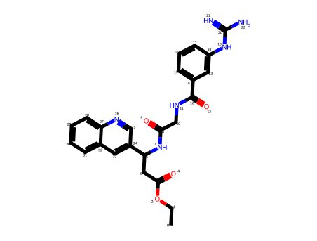 CCOC(=O)CC(NC(=O)CNC(=O)c1cccc(NC(=N)N)c1)c1cnc2ccccc2c1